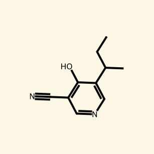 CCC(C)c1cncc(C#N)c1O